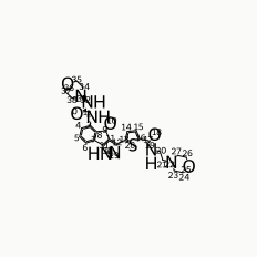 O=C(Nc1cccc2c1C(=O)c1c(-c3ccc(C(=O)NCCN4CCOCC4)s3)n[nH]c1-2)NN1CCOCC1